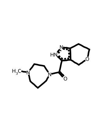 CN1CCCN(C(=O)c2[nH]nc3c2COCC3)CC1